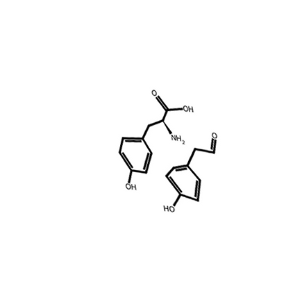 N[C@@H](Cc1ccc(O)cc1)C(=O)O.O=CCc1ccc(O)cc1